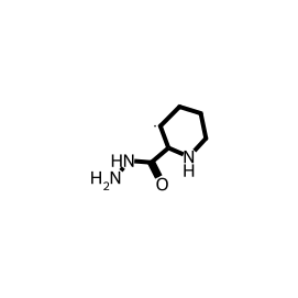 NNC(=O)C1[CH]CCCN1